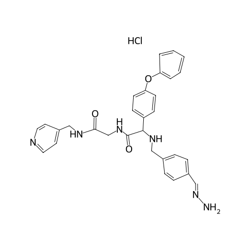 Cl.NN=Cc1ccc(CNC(C(=O)NCC(=O)NCc2ccncc2)c2ccc(Oc3ccccc3)cc2)cc1